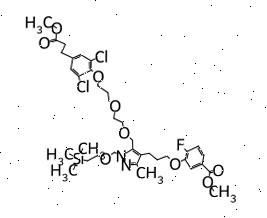 COC(=O)CCc1cc(Cl)c(OCCCOCCOCc2c(CCCOc3cc(C(=O)OC)ccc3F)c(C)nn2COCC[Si](C)(C)C)c(Cl)c1